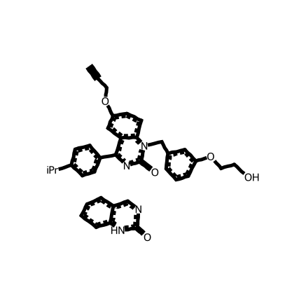 C#CCOc1ccc2c(c1)c(-c1ccc(C(C)C)cc1)nc(=O)n2Cc1cccc(OCCO)c1.O=c1ncc2ccccc2[nH]1